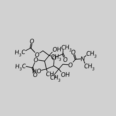 CC(=O)OCC(C)(O)C(OC(C)=O)C(C)(O)C(OC(C)=O)C(C)(O)COC(=O)N(C)C